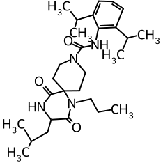 CCCN1C(=O)C(CC(C)C)NC(=O)C12CCN(C(=O)Nc1c(C(C)C)cccc1C(C)C)CC2